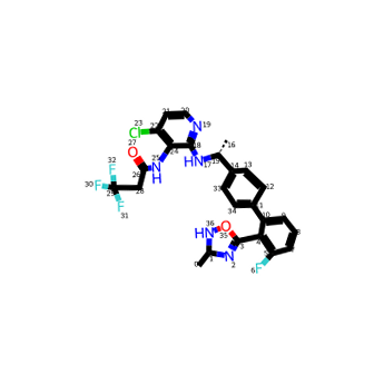 CC1N=C(c2c(F)cccc2-c2ccc([C@@H](C)Nc3nccc(Cl)c3NC(=O)CC(F)(F)F)cc2)ON1